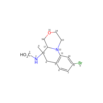 CC1(NC(=O)O)Cc2ccc(Br)cc2N2CCOCC21